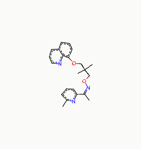 CC(=NOCC(C)(C)COc1cccc2cccnc12)c1cccc(C)n1